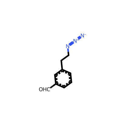 [N-]=[N+]=NCCc1cccc(C=O)c1